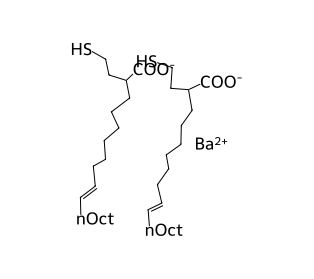 CCCCCCCCC=CCCCCCCC(CCS)C(=O)[O-].CCCCCCCCC=CCCCCCCC(CCS)C(=O)[O-].[Ba+2]